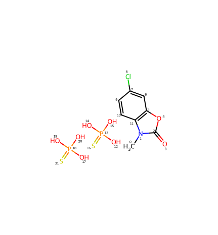 Cn1c(=O)oc2cc(Cl)ccc21.OP(O)(O)=S.OP(O)(O)=S